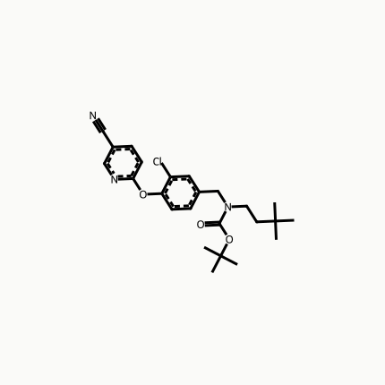 CC(C)(C)CCN(Cc1ccc(Oc2ccc(C#N)cn2)c(Cl)c1)C(=O)OC(C)(C)C